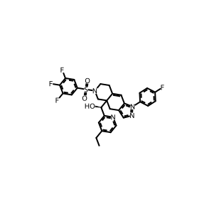 CCc1ccnc([C@@H](O)C23Cc4cnn(-c5ccc(F)cc5)c4C=C2CCN(S(=O)(=O)c2cc(F)c(F)c(F)c2)C3)c1